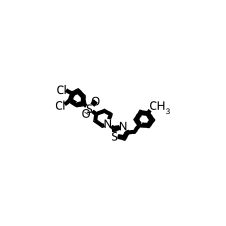 Cc1ccc(Cc2csc(N3CCC(S(=O)(=O)c4ccc(Cl)c(Cl)c4)CC3)n2)cc1